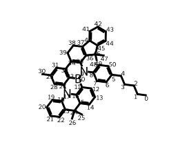 CCCCCc1ccc(N2B3c4cccc5c4N(c4ccccc4C5(C)C)c4cc(C)cc(c43)C3=C2C2=C(CC3)c3ccccc3C2(C)C)cc1